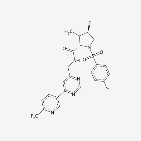 CC1[C@@H](C(=O)NCc2cc(-c3ccc(C(F)(F)F)nc3)ncn2)N(S(=O)(=O)c2ccc(F)cc2)C[C@@H]1F